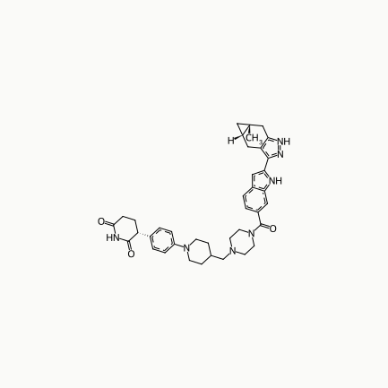 C[C@@]12Cc3[nH]nc(-c4cc5ccc(C(=O)N6CCN(CC7CCN(c8ccc([C@H]9CCC(=O)NC9=O)cc8)CC7)CC6)cc5[nH]4)c3C[C@@H]1C2